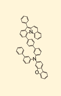 c1ccc(-c2cccc(N(c3cccc(-c4ccc(-c5cccc6c(-c7ccccc7)c7ccc8ccccc8n7c56)cc4)c3)c3ccc4c(c3)oc3ccccc34)c2)cc1